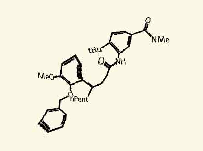 CCCCCC(CC(=O)Nc1cc(C(=O)NC)ccc1C(C)(C)C)c1cccc(OC)c1OCc1ccccc1